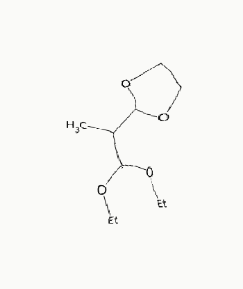 CCO[C](OCC)C(C)C1OCCO1